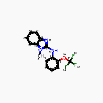 Cn1c(Nc2ccccc2OC(F)(F)F)nc2ccccc21